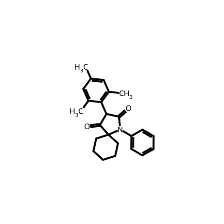 Cc1cc(C)c(C2C(=O)N(c3ccccc3)C3(CCCCC3)C2=O)c(C)c1